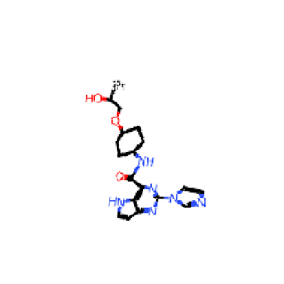 CC(C)C(O)COC1CCC(NC(=O)c2nc(-n3ccnc3)nc3cc[nH]c23)CC1